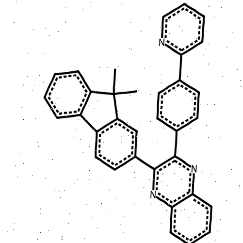 CC1(C)c2ccccc2-c2ccc(-c3nc4ccccc4nc3-c3ccc(-c4ccccn4)cc3)cc21